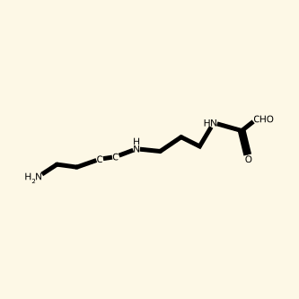 NCCCCNCCCNC(=O)C=O